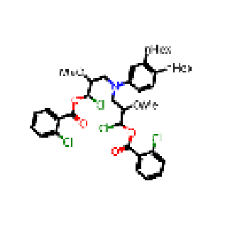 CCCCCCc1ccc(N(CC(OC)C(Cl)OC(=O)c2ccccc2Cl)CC(OC)C(Cl)OC(=O)c2ccccc2Cl)cc1CCCCCC